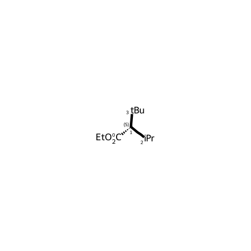 CCOC(=O)[C@@H](C(C)C)C(C)(C)C